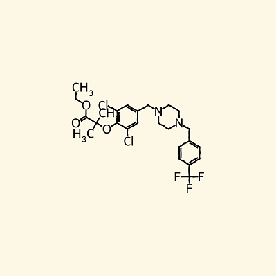 CCOC(=O)C(C)(C)Oc1c(Cl)cc(CN2CCN(Cc3ccc(C(F)(F)F)cc3)CC2)cc1Cl